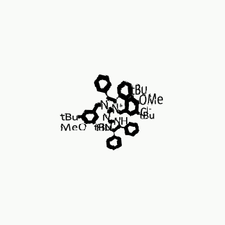 COc1c(C(C)(C)C)cc(CN2C(N=C3N[C@@H](c4ccccc4)[C@H](c4ccccc4)N3)=[N+](Cc3cc(C(C)(C)C)c(OC)c(C(C)(C)C)c3)[C@@H](c3ccccc3)[C@@H]2c2ccccc2)cc1C(C)(C)C.[Cl-]